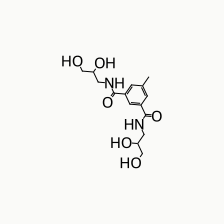 Cc1cc(C(=O)NCC(O)CO)cc(C(=O)NCC(O)CO)c1